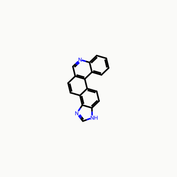 c1ccc2c(c1)ncc1ccc3c(ccc4[nH]cnc43)c12